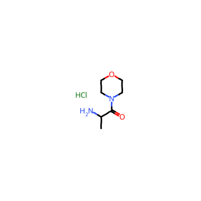 CC(N)C(=O)N1CCOCC1.Cl